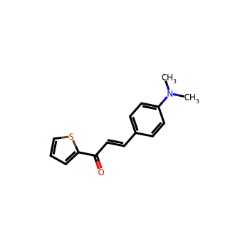 CN(C)c1ccc(C=CC(=O)c2cccs2)cc1